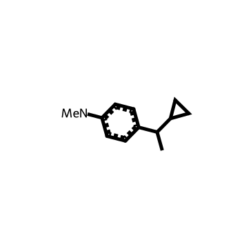 CNc1ccc(C(C)C2CC2)cc1